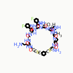 C[C@@H]1NC(=O)[C@H](Cc2c[nH]cn2)NC(=O)[C@H](CC(=O)O)NC(=O)[C@H](Cc2c[nH]c3ccc(F)cc23)NC(=O)[C@H](Cc2c[nH]c3ccc(F)cc23)NC(=O)CNC(=O)[C@H](CCCCN)NC(=O)CCSCc2cccc(c2)CSC[C@@H](C(N)=O)NC(=O)[C@@H]2CCCN2C1=O